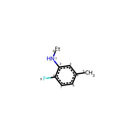 CCNc1cc(C)ccc1F